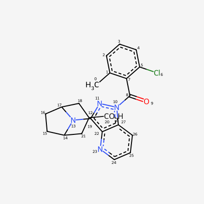 Cc1cccc(Cl)c1C(=O)n1nc(N2C3CCC2CC(C(=O)O)C3)c2ncccc21